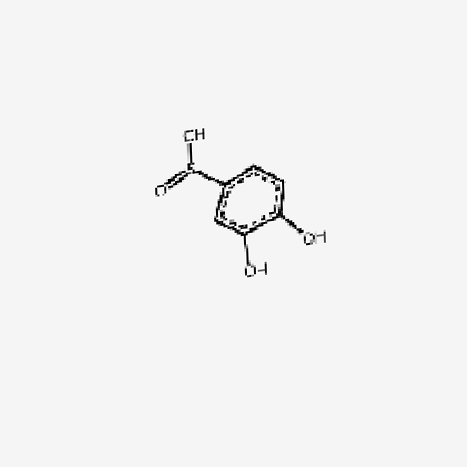 O=S(O)c1ccc(O)c(O)c1